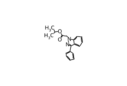 CC(C)OC(=O)Cn1nc(-c2ccccc2)c2ccccc21